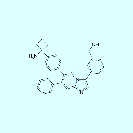 NC1(c2ccc(-c3nn4c(-c5cccc(CO)c5)cnc4cc3-c3ccccc3)cc2)CCC1